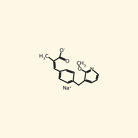 COc1ncccc1Cc1ccc(C=C(C)C(=O)[O-])cc1.[Na+]